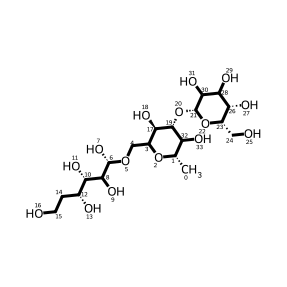 C[C@@H]1OC(CO[C@@H](O)C(O)[C@@H](O)[C@H](O)CCO)[C@@H](O)[C@H](O[C@H]2O[C@@H](CO)[C@@H](O)C(O)C2O)C1O